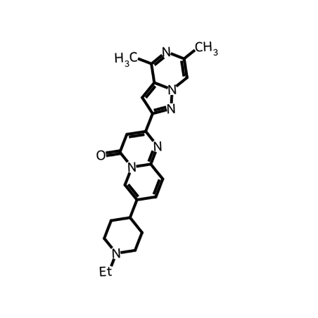 CCN1CCC(c2ccc3nc(-c4cc5c(C)nc(C)cn5n4)cc(=O)n3c2)CC1